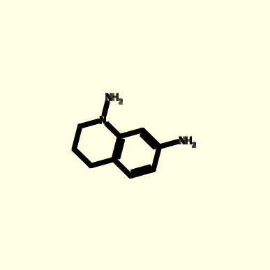 Nc1ccc2c(c1)N(N)CCC2